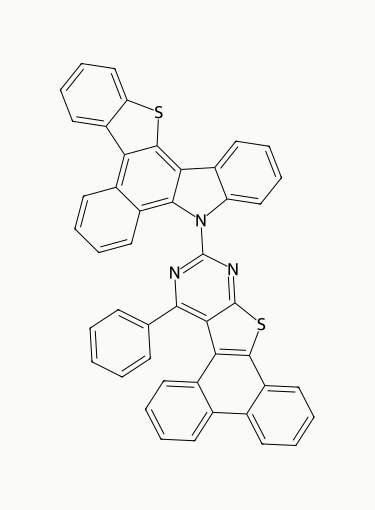 c1ccc(-c2nc(-n3c4ccccc4c4c5sc6ccccc6c5c5ccccc5c43)nc3sc4c5ccccc5c5ccccc5c4c23)cc1